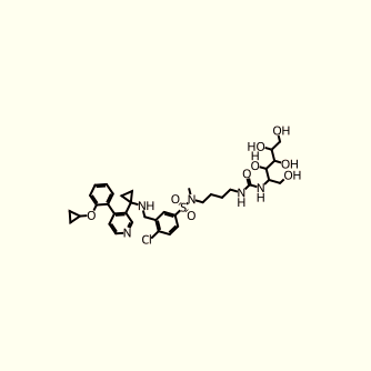 CN(CCCCNC(=O)NC(CO)C(O)C(O)C(O)CO)S(=O)(=O)c1ccc(Cl)c(CNC2(c3cnccc3-c3ccccc3OC3CC3)CC2)c1